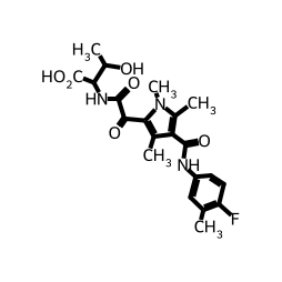 Cc1cc(NC(=O)c2c(C)c(C(=O)C(=O)NC(C(=O)O)C(C)O)n(C)c2C)ccc1F